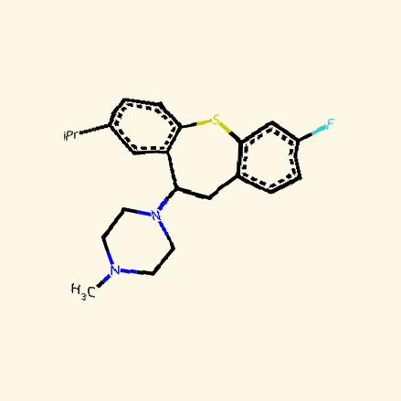 CC(C)c1ccc2c(c1)C(N1CCN(C)CC1)Cc1ccc(F)cc1S2